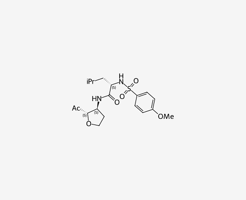 COc1ccc(S(=O)(=O)N[C@@H](CC(C)C)C(=O)N[C@H]2CCO[C@@H]2C(C)=O)cc1